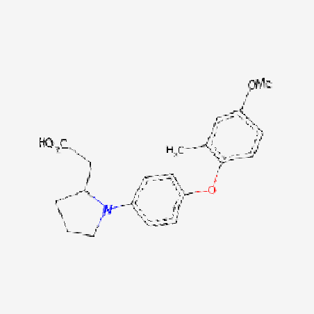 COc1ccc(Oc2ccc(N3CCCC3CC(=O)O)cc2)c(C)c1